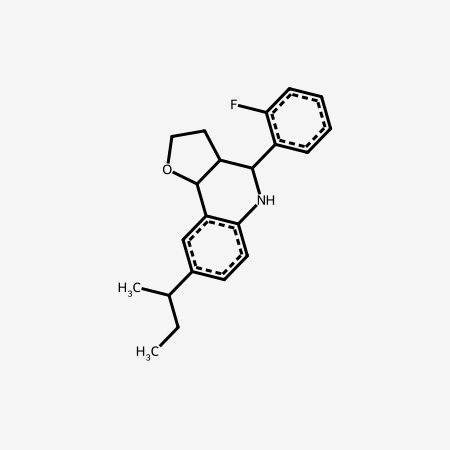 CCC(C)c1ccc2c(c1)C1OCCC1C(c1ccccc1F)N2